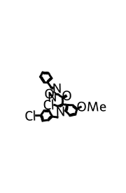 COc1ccc2c(c1)c(C(=O)c1noc(-c3ccccc3)n1)c(Cl)n2Cc1ccc(Cl)cc1